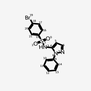 O=S(=O)(Nc1ccnn1-c1ccccc1)c1ccc(Br)cc1